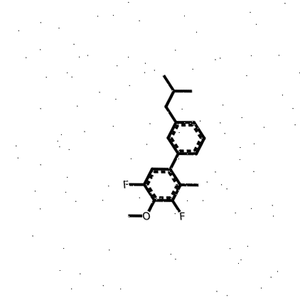 COc1c(F)cc(-c2cccc(CC(C)C)c2)c(C)c1F